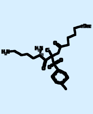 CCCCCCCCCCCCCCC(=O)CC(Cl)(C(=O)[C@@H](N)CCCCN)S(=O)(=O)c1ccc(C)cc1